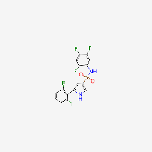 O=S(=O)(Nc1cc(F)c(F)cc1F)c1c[nH]c(-c2c(F)cccc2F)c1